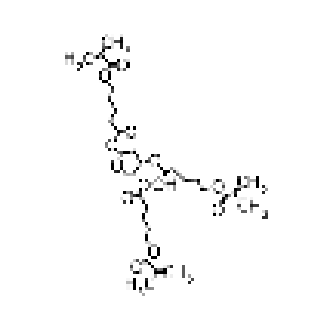 C=C(C)C(=O)OCCCCC(=O)OC1C[C@H](OC(O)CCCCOC(=O)C(=C)C)[C@H](OC(=O)CCCCOC(=O)C(=C)C)CO1